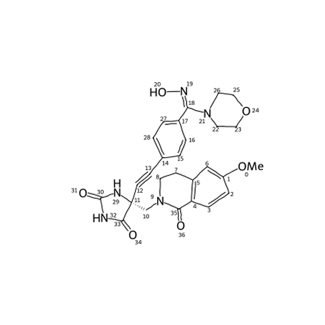 COc1ccc2c(c1)CCN(C[C@@]1(C#Cc3ccc(/C(=N\O)N4CCOCC4)cc3)NC(=O)NC1=O)C2=O